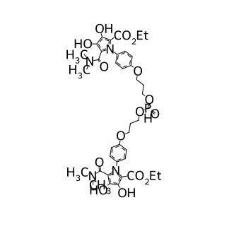 CCOC(=O)c1c(O)c(O)c(C(=O)N(C)C)n1-c1ccc(OCCCO[PH](=O)OCCCOc2ccc(-n3c(C(=O)OCC)c(O)c(O)c3C(=O)N(C)C)cc2)cc1